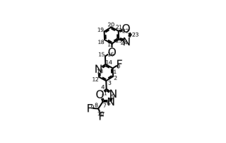 Fc1cc(-c2nnc(C(F)F)o2)cnc1COc1cccc2ocnc12